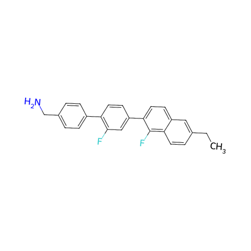 CCc1ccc2c(F)c(-c3ccc(-c4ccc(CN)cc4)c(F)c3)ccc2c1